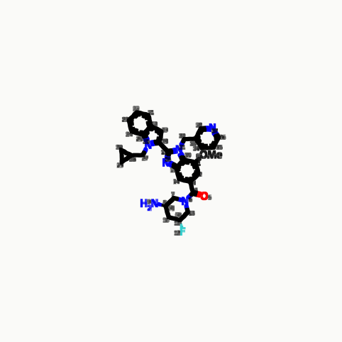 COc1cc(C(=O)N2C[C@H](N)C[C@@H](F)C2)cc2nc(-c3cc4ccccc4n3CC3CC3)n(Cc3cccnc3)c12